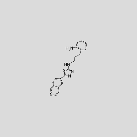 Nc1ccccc1CCCNc1nnc(-c2ccc3cnccc3c2)s1